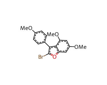 COc1ccc(-c2c(Br)oc3cc(OC)cc(OC)c23)cc1